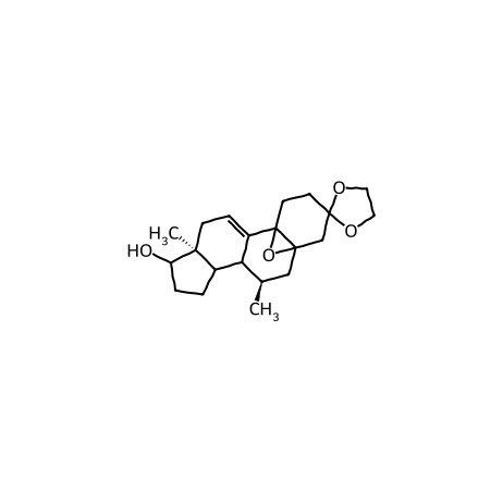 C[C@@H]1CC23CC4(CCC2(O3)C2=CC[C@]3(C)C(O)CCC3C21)OCCO4